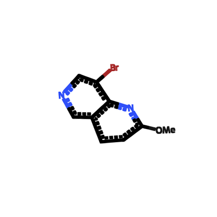 COc1ccc2cncc(Br)c2n1